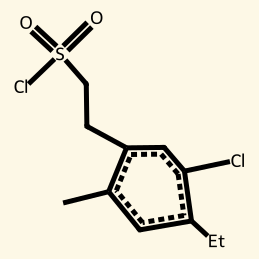 CCc1cc(C)c(CCS(=O)(=O)Cl)cc1Cl